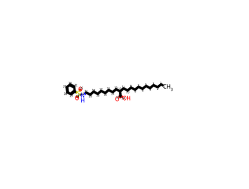 CCCCCCCCCCCCC(CCCCCCCCCNS(=O)(=O)c1ccccc1)C(=O)O